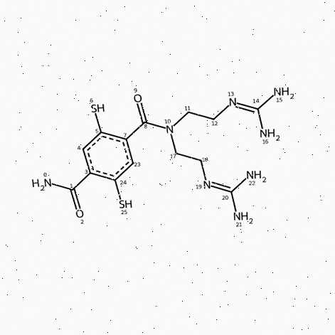 NC(=O)c1cc(S)c(C(=O)N(CCN=C(N)N)CCN=C(N)N)cc1S